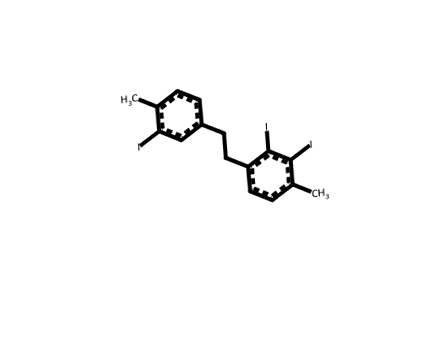 Cc1ccc(CCc2ccc(C)c(I)c2I)cc1I